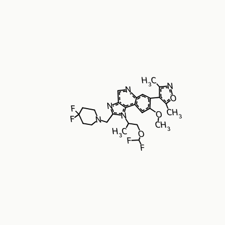 COc1cc2c(cc1-c1c(C)noc1C)ncc1nc(CN3CCC(F)(F)CC3)n(C(C)COC(F)F)c12